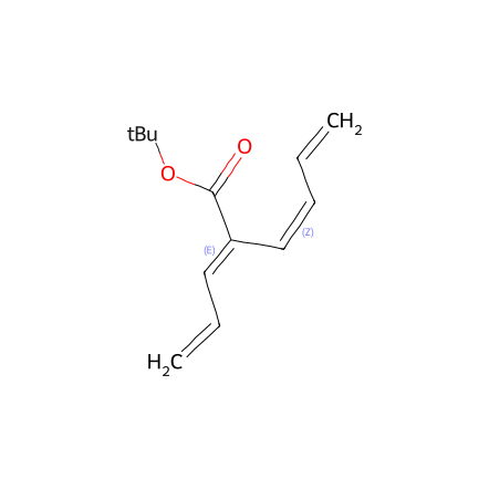 C=C/C=C\C(=C/C=C)C(=O)OC(C)(C)C